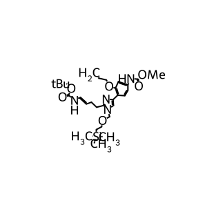 C=CCOc1cc(NC(=O)OC)ccc1-c1cn(COCC[Si](C)(C)C)c(CCC=CNC(=O)OC(C)(C)C)n1